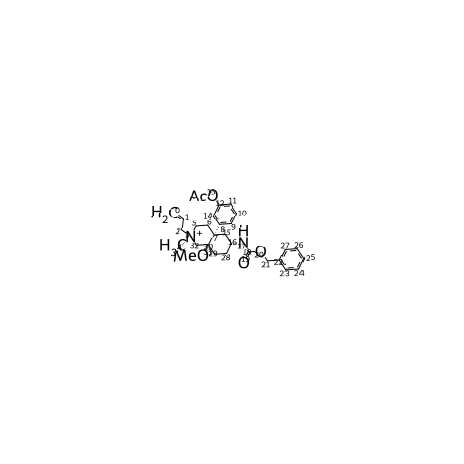 C=CC[N@@+]1(C)CC[C@@]2(c3cccc(OC(C)=O)c3)C[C@H](NC(=O)OCc3ccccc3)CCC2(OC)C1